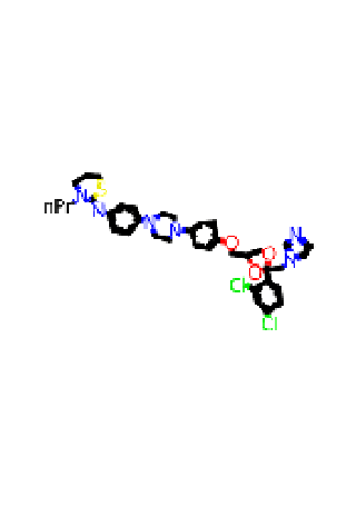 CCCN1CCCS/C1=N\c1ccc(N2CCN(c3ccc(OCC4COC(Cn5ccnc5)(c5ccc(Cl)cc5Cl)O4)cc3)CC2)cc1